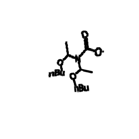 CCCCOC(C)N(C([O])=O)C(C)OCCCC